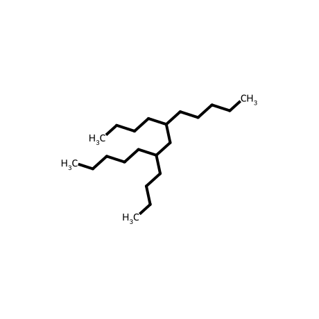 CCCCCC(CCCC)CC(CCCC)CCCCC